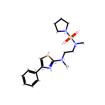 CCN(CCN(C)S(=O)(=O)N1CCCC1)c1nc(-c2ccccc2)cs1